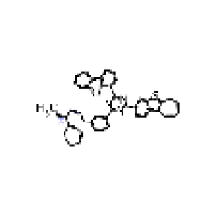 C/C=C(\C=C/Cc1cccc(-c2nc(-c3ccc4c5c(sc4c3)CC=CC=C5)nc(-c3cccc4c3oc3ccccc34)n2)c1)C1=CC=CCCC1